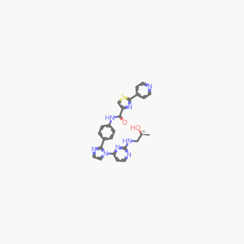 C[C@H](O)CNc1nccc(-n2ccnc2-c2ccc(NC(=O)c3csc(-c4ccncc4)n3)cc2)n1